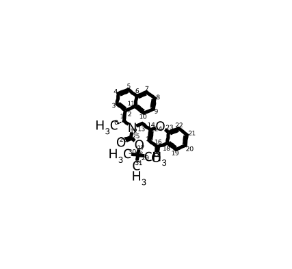 C[C@H](c1cccc2ccccc12)N(Cc1cc(=O)c2ccccc2o1)C(=O)OC(C)(C)C